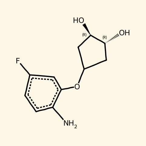 Nc1ccc(F)cc1OC1C[C@@H](O)[C@H](O)C1